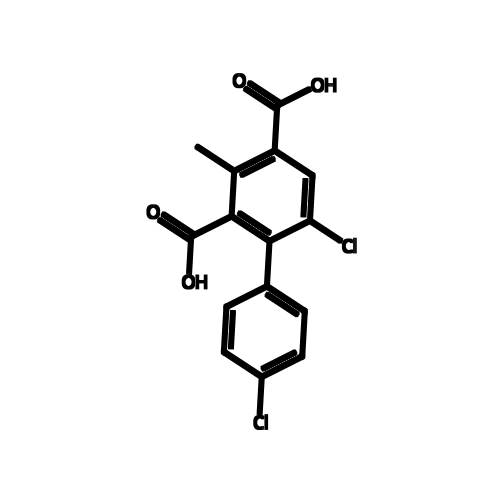 Cc1c(C(=O)O)cc(Cl)c(-c2ccc(Cl)cc2)c1C(=O)O